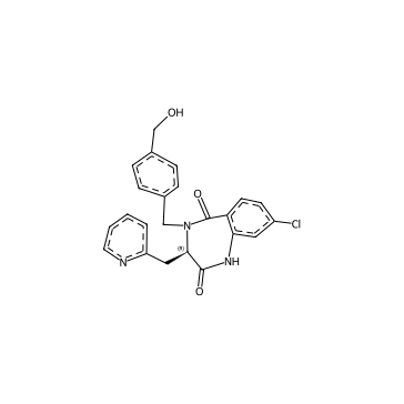 O=C1Nc2cc(Cl)ccc2C(=O)N(Cc2ccc(CO)cc2)[C@@H]1Cc1ccccn1